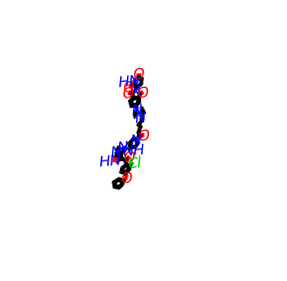 O=C1CCC(N2C(=O)c3ccc(N4CCN(CCCCC(=O)N5CCC(Nc6ncnc7[nH]cc(C(=O)c8ccc(Oc9ccccc9)cc8Cl)c67)CC5)CC4)cc3C2=O)C(=O)N1